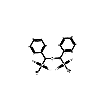 O=S(=O)(O)[CH]([Zn][CH](c1ccccc1)S(=O)(=O)O)c1ccccc1